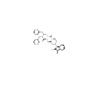 CC(C)(C)OC(=O)N(Cc1ccccc1)C(COC(=O)N1CCC(n2c(=O)[nH]c3ccccc32)CC1)Cc1ccccc1